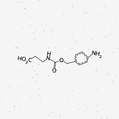 Nc1ccc(COC(=O)NCCC(=O)O)cc1